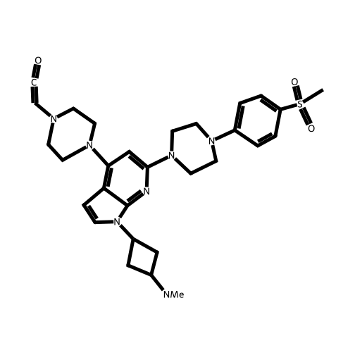 CNC1CC(n2ccc3c(N4CCN(C=C=O)CC4)cc(N4CCN(c5ccc(S(C)(=O)=O)cc5)CC4)nc32)C1